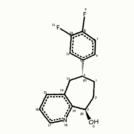 O[C@@H]1CC[C@@H](c2ccc(F)c(F)c2)Cc2cccnc21